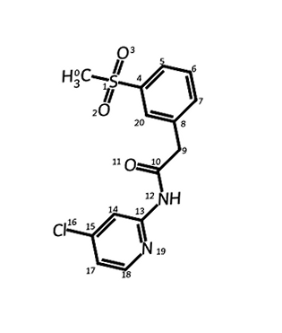 CS(=O)(=O)c1cccc(CC(=O)Nc2cc(Cl)ccn2)c1